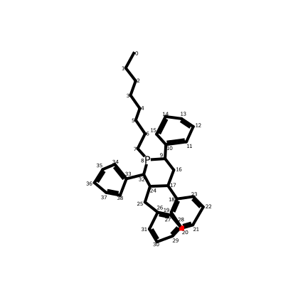 CCCCCCCCP1C(c2ccccc2)CC(c2ccccc2)C(Cc2ccccc2)C1c1ccccc1